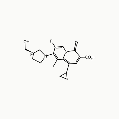 Cc1c(N2CC[C@@H](CO)C2)c(F)cn2c(=O)c(C(=O)O)cc(C3CC3)c12